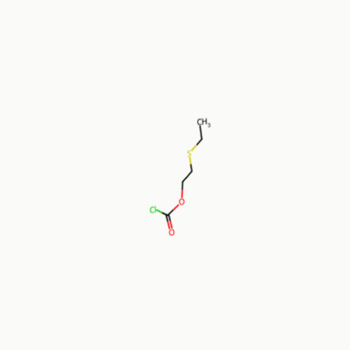 CCSCCOC(=O)Cl